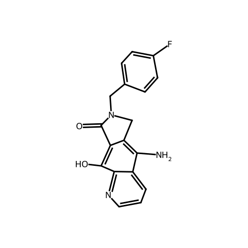 Nc1c2c(c(O)c3ncccc13)C(=O)N(Cc1ccc(F)cc1)C2